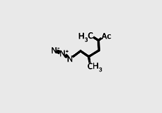 CC(=O)C(C)CC(C)CN=[N+]=[N-]